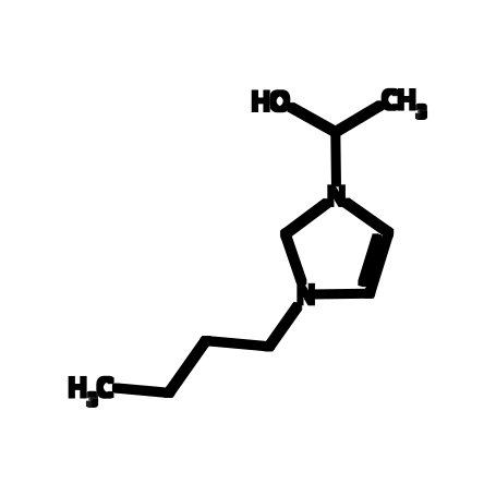 CCCCN1C=CN(C(C)O)C1